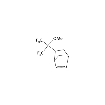 COC(C1CC2C=CC1C2)(C(F)(F)F)C(F)(F)F